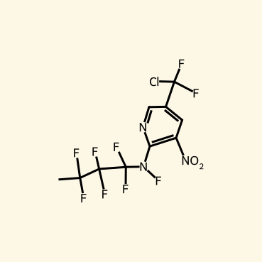 CC(F)(F)C(F)(F)C(F)(F)N(F)c1ncc(C(F)(F)Cl)cc1[N+](=O)[O-]